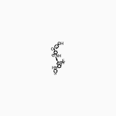 COc1cc(C(=O)N2CCC(O)CC2)ccc1NCC#Cc1cc2c(NC3CCN(C)CC3)cccc2n1CC(F)(F)F